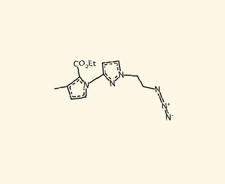 CCOC(=O)c1c(C)ccn1-c1ccn(CCN=[N+]=[N-])n1